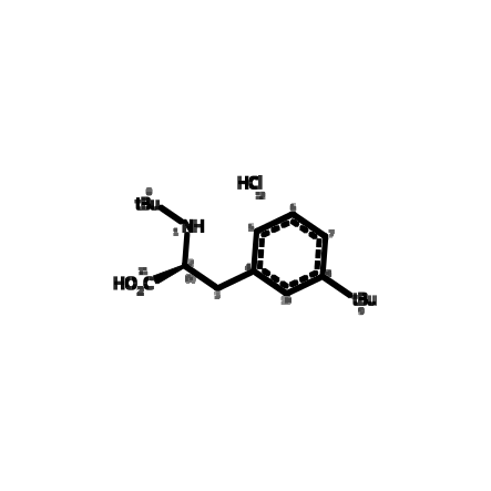 CC(C)(C)N[C@@H](Cc1cccc(C(C)(C)C)c1)C(=O)O.Cl